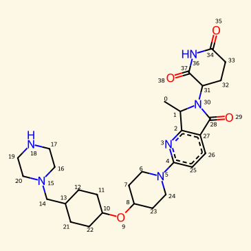 CC1c2nc(N3CCC(OC4CCC(CN5CCNCC5)CC4)CC3)ccc2C(=O)N1C1CCC(=O)NC1=O